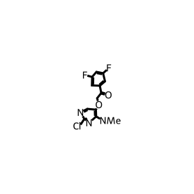 CNc1nc(Cl)ncc1OCC(=O)c1cc(F)cc(F)c1